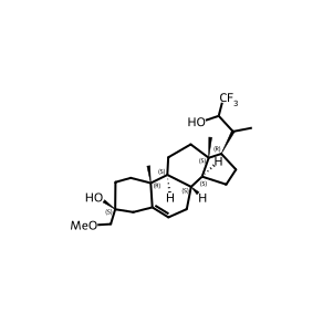 COC[C@]1(O)CC[C@@]2(C)C(=CC[C@H]3[C@@H]4CC[C@H](C(C)C(O)C(F)(F)F)[C@@]4(C)CC[C@@H]32)C1